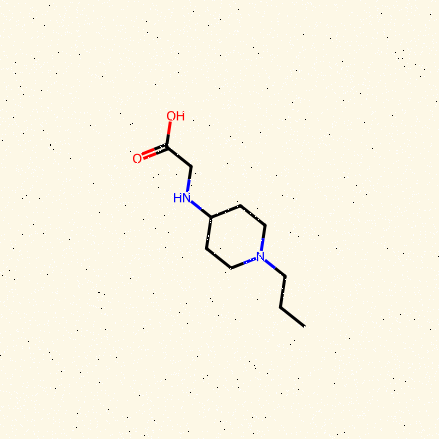 CCCN1CCC(NCC(=O)O)CC1